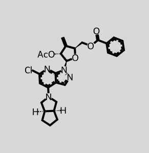 C=C1[C@@H](OC(C)=O)[C@H](n2ncc3c(N4C[C@H]5CCC[C@H]5C4)cc(Cl)nc32)O[C@@H]1COC(=O)c1ccccc1